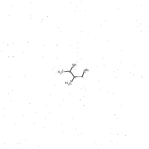 CCCCC(C)C(C)S